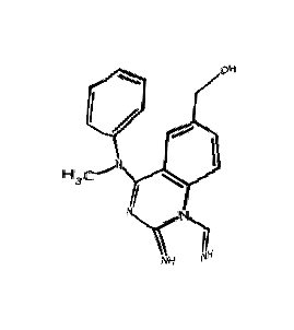 CN(c1ccccc1)c1nc(=N)n(C=N)c2ccc(CO)cc12